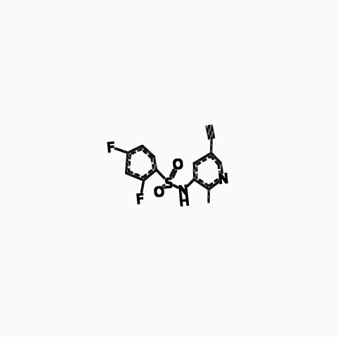 C#Cc1cnc(C)c(NS(=O)(=O)c2ccc(F)cc2F)c1